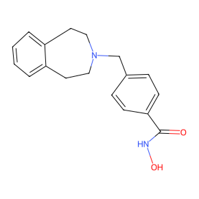 O=C(NO)c1ccc(CN2CCc3ccccc3CC2)cc1